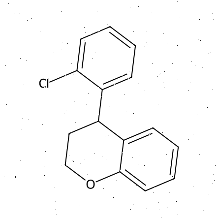 Clc1ccccc1C1CCOc2ccccc21